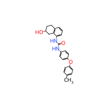 Cc1ccc(Oc2ccc(NC(=O)Nc3cccc4c3CC(O)CC4)cc2)cc1